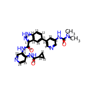 CN(C)C(=O)Nc1cncc(-c2ccc3[nH]nc(C(=O)Nc4cnccc4NC(=O)C4CC4)c3c2)c1